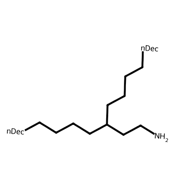 CCCCCCCCCCCCCCC(CCN)CCCCCCCCCCCCCC